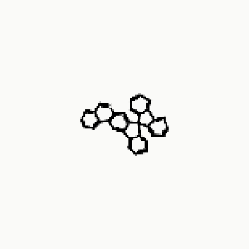 c1ccc2c(c1)-c1ccccc1C21c2ccccc2-c2cc3c(cc21)ncc1ccccc13